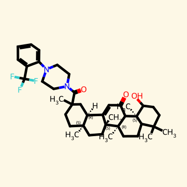 CC1(C(=O)N2CCN(c3ccccc3C(F)(F)F)CC2)CC[C@]2(C)CC[C@]3(C)C(=CC(=O)C4[C@@]5(C)C(O)CCC(C)(C)C5CC[C@]43C)[C@@H]2C1